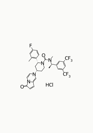 Cc1cc(F)ccc1[C@H]1C[C@@H](n2ccn3c(=O)ccc-3c2)CCN1C(=O)N(C)[C@H](C)c1cc(C(F)(F)F)cc(C(F)(F)F)c1.Cl